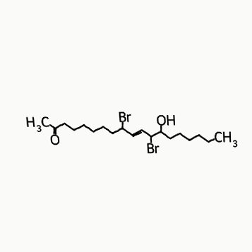 CCCCCCC(O)C(Br)C=CC(Br)CCCCCCC(C)=O